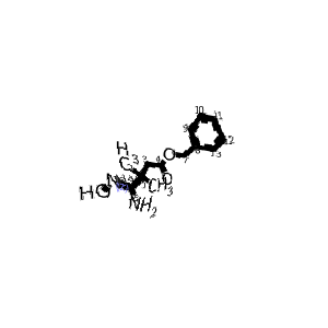 CC(C)(CC(=O)OCc1ccccc1)/C(N)=N/O